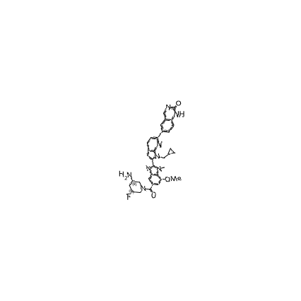 COc1cc(C(=O)N2C[C@H](N)C[C@@H](F)C2)cc2nc(-c3cc4ccc(-c5ccc6[nH]c(=O)ncc6c5)nc4n3CC3CC3)n(C)c12